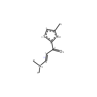 Cc1csc(C(=O)/C=C/N(C)C)n1